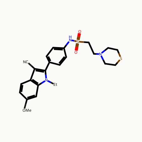 CCn1c(-c2ccc(NS(=O)(=O)CCN3CCSCC3)cc2)c(C#N)c2ccc(OC)cc21